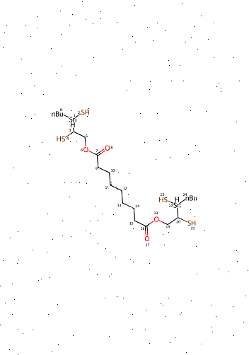 CCC[CH2][SnH]([SH])[CH](S)COC(=O)CCCCCCCC(=O)OC[CH](S)[SnH]([SH])[CH2]CCC